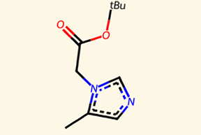 Cc1cncn1CC(=O)OC(C)(C)C